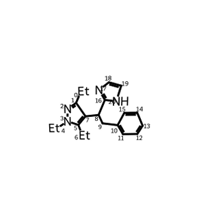 CCc1nn(CC)c(CC)c1C(Cc1ccccc1)c1ncc[nH]1